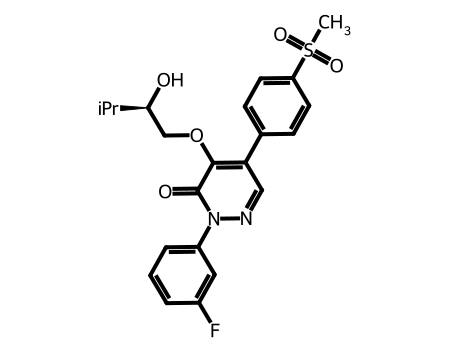 CC(C)[C@@H](O)COc1c(-c2ccc(S(C)(=O)=O)cc2)cnn(-c2cccc(F)c2)c1=O